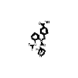 O=C(O)c1ccc(CN(C(=O)O[C@H]2CN3CCC2CC3)c2ccccc2OC(F)F)cc1